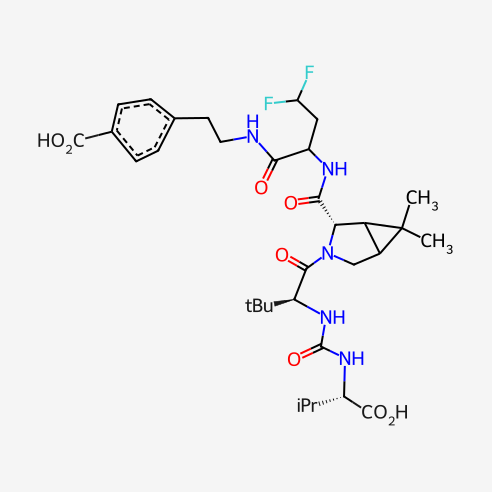 CC(C)[C@H](NC(=O)N[C@H](C(=O)N1CC2C([C@H]1C(=O)NC(CC(F)F)C(=O)NCCc1ccc(C(=O)O)cc1)C2(C)C)C(C)(C)C)C(=O)O